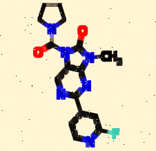 Cn1c(=O)n(C(=O)N2CCCC2)c2cnc(-c3ccnc(F)c3)nc21